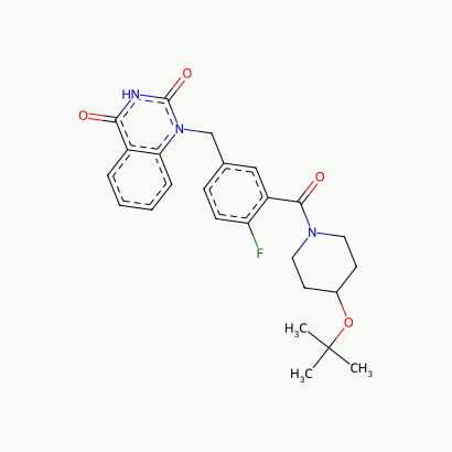 CC(C)(C)OC1CCN(C(=O)c2cc(Cn3c(=O)[nH]c(=O)c4ccccc43)ccc2F)CC1